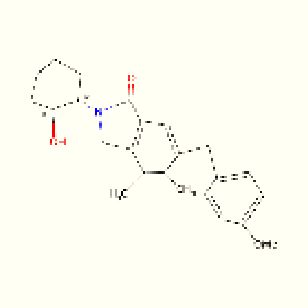 COc1ccc(Cc2cc3c(c(C)c2C)CN([C@H]2CCCC[C@@H]2O)C3=O)cc1